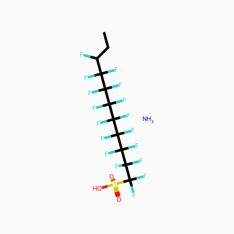 CCC(F)C(F)(F)C(F)(F)C(F)(F)C(F)(F)C(F)(F)C(F)(F)C(F)(F)C(F)(F)S(=O)(=O)O.N